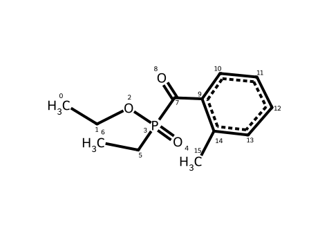 CCOP(=O)(CC)C(=O)c1ccccc1C